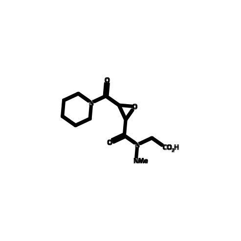 CNN(CC(=O)O)C(=O)C1OC1C(=O)N1CCCCC1